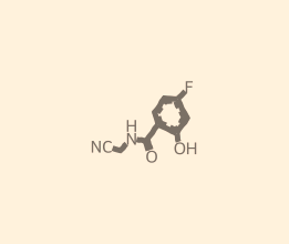 N#CCNC(=O)c1ccc(F)cc1O